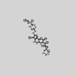 CC(C)(C)OC(=O)N1CCN(CCc2sc3c(ccc4cc(C(=O)NOC5CCCCO5)c(=O)oc43)c2Br)CC1